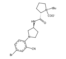 CC(C)(C)[N+]1(C(=O)[O-])CCC[C@H]1C(=O)N[C@H]1CCN(c2ccc(Br)cc2C#N)C1